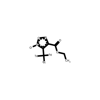 [2H]C([2H])([2H])c1c(C(=O)OCC)no[n+]1[O-]